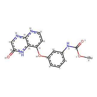 CC(C)(C)OC(=O)Nc1cccc(Oc2ccnc3ncc(=O)[nH]c23)c1